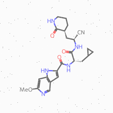 COc1cc2[nH]c(C(=O)N[C@@H](CC3CC3)C(=O)N[C@H](C#N)C[C@@H]3CCCNC3=O)cc2cn1